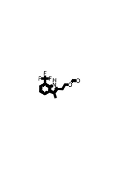 Cc1c(CCOC=O)[nH]c2c(C(F)(F)F)cccc12